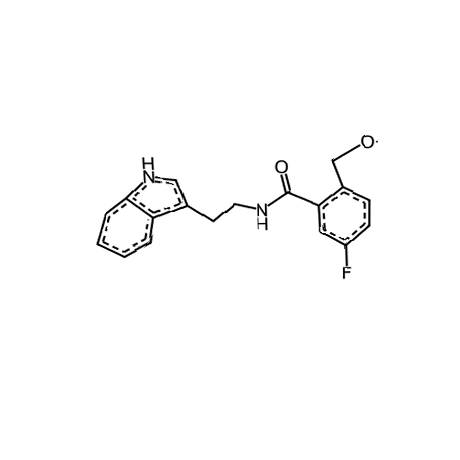 [O]Cc1ccc(F)cc1C(=O)NCCc1c[nH]c2ccccc12